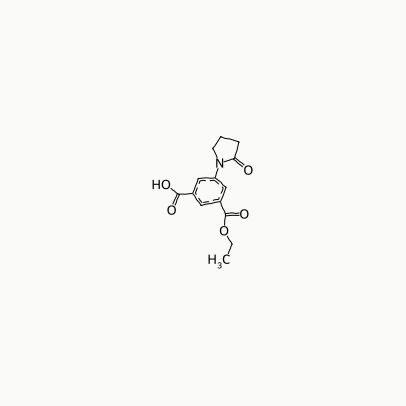 CCOC(=O)c1cc(C(=O)O)cc(N2CCCC2=O)c1